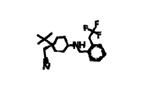 CC(C)(C)[C@]1(CC#N)CC[C@@H](NCc2ccccc2CC(F)(F)F)CC1